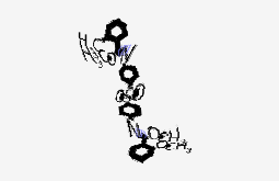 CO/C(=N\c1ccc(S(=O)(=O)c2ccc(/N=C(\OC)c3ccccc3OC)cc2)cc1)c1ccccc1C